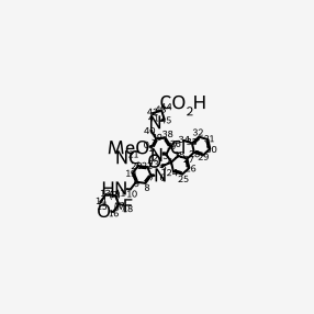 COc1nc(C2(c3nc4cc(CN[C@@H]5CCOC[C@@H]5F)cc(C#N)c4o3)C=CC=C(c3ccccc3C)C2Cl)ccc1CN1CC(C(=O)O)C1